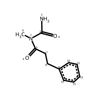 CN(C(N)=O)C(=O)[CH]Cc1ccccc1